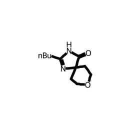 CCCCC1=NC2(CCOCC2)C(=O)N1